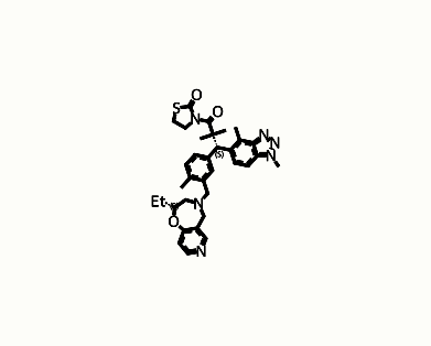 CC[C@@H]1CN(Cc2cc([C@@H](c3ccc4c(nnn4C)c3C)C(C)(C)C(=O)N3CCSC3=O)ccc2C)Cc2cnccc2O1